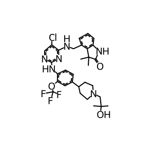 CC(C)(O)CN1CCC(c2ccc(Nc3ncc(Cl)c(NCc4cccc5c4C(C)(C)C(=O)N5)n3)c(OC(F)(F)F)c2)CC1